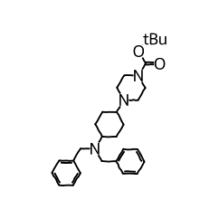 CC(C)(C)OC(=O)N1CCN(C2CCC(N(Cc3ccccc3)Cc3ccccc3)CC2)CC1